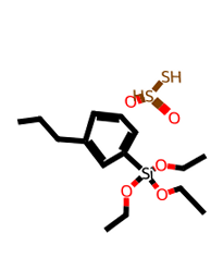 CCCc1cccc([Si](OCC)(OCC)OCC)c1.O=[SH](=O)S